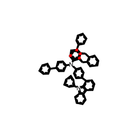 c1ccc(-c2ccc(N(c3ccc(-c4cccc5c6ccccc6n(-c6ccccc6)c45)cc3)c3ccc(-c4ccccc4)c4c3C3c5ccccc5C4c4ccccc43)cc2)cc1